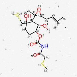 COC1C(OC(=O)NC(=O)CSC)CCC(O)(CSC)C1C1(C)OC1CC=C(C)C